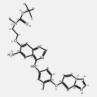 Cc1cc(Nc2ncnc3cc(OCCN(C)C(=O)OC(C)(C)C)c(N)cc23)ccc1Oc1ccn2ncnc2c1